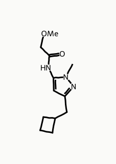 COCC(=O)Nc1cc(CC2CCC2)nn1C